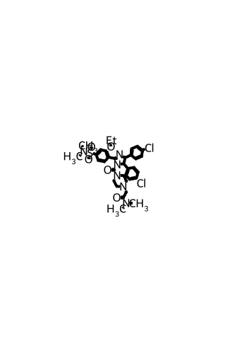 CCOc1cc(S(=O)(=O)N(C)C)ccc1C1=NC(c2ccc(Cl)cc2)C(c2ccc(Cl)cc2)N1C(=O)N1CCN(CC(=O)N(C)C)CC1